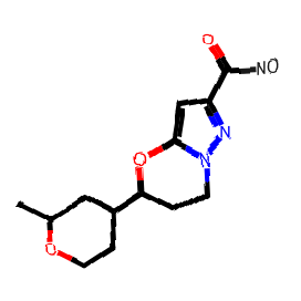 CC1CC(C2CCn3nc(C(=O)N=O)cc3O2)CCO1